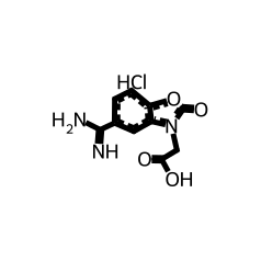 Cl.N=C(N)c1ccc2oc(=O)n(CC(=O)O)c2c1